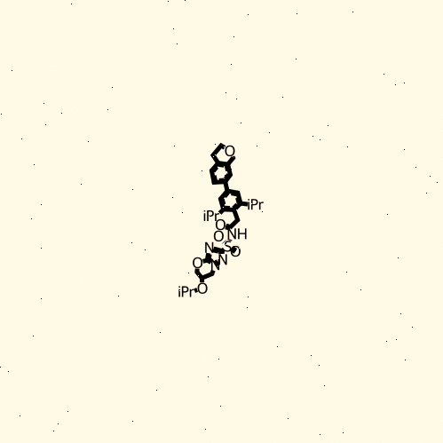 CC(C)OC1COc2nc(S(=O)(=O)NC(=O)Cc3c(C(C)C)cc(-c4ccc5c(c4)COCC5)cc3C(C)C)nn2C1